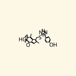 CC1=C(CSc2nnnn2-c2ccc(O)cc2)C2=C(C)C3(CC3)[C@@](C)(O)C(=O)C2=C1